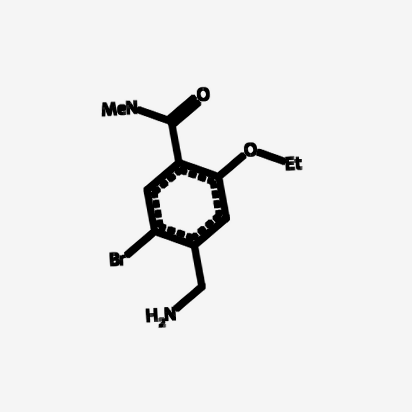 CCOc1cc(CN)c(Br)cc1C(=O)NC